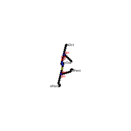 CCCCC/C=C\C/C=C\CCCCCCC(O)CN(CCCCSSCCN1CCN(CCOC(=O)CCCN(CC(O)CCCCCC/C=C\CCCCCCCC)CC(O)CCCCCC/C=C\CCCCCCCC)CC1)CC(O)CCCCCC/C=C\C/C=C\CCCCC